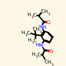 CC(C)C(=O)Nc1cccc(NC(=O)C(C)C)c1C(C)(C)C